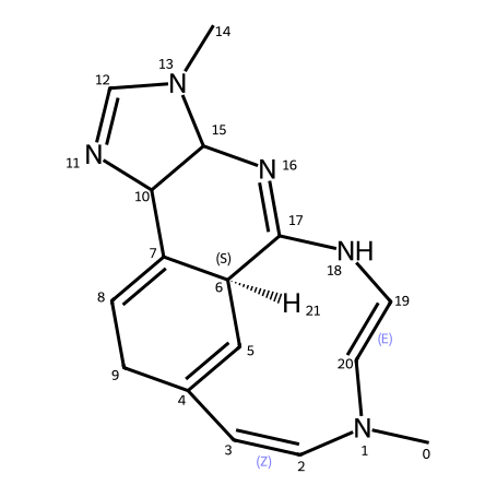 CN1/C=C\C2=C[C@H]3C(=CC2)C2N=CN(C)C2N=C3N/C=C/1